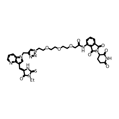 CCN1C(=O)/C(=C/c2cn(Cc3cn(CCOCCOCCOCC(=O)Nc4cccc5c4C(=O)N(C4CCC(=O)NC4=O)C5=O)nn3)c3cccnc23)NC1=S